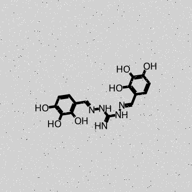 N=C(N/N=C/c1ccc(O)c(O)c1O)N/N=C/c1ccc(O)c(O)c1O